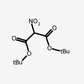 CC(C)(C)OC(=O)C(C(=O)OC(C)(C)C)[N+](=O)[O-]